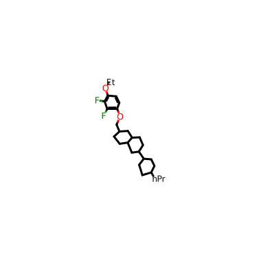 CCCC1CCC(C2CCC3CC(COc4ccc(OCC)c(F)c4F)CCC3C2)CC1